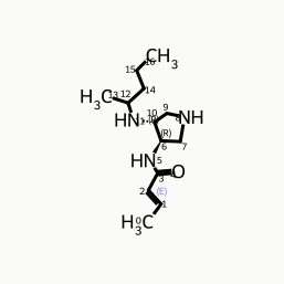 C/C=C/C(=O)N[C@@H]1CNC[C@H]1NC(C)CCC